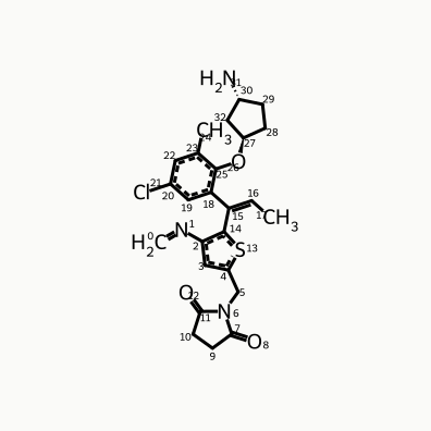 C=Nc1cc(CN2C(=O)CCC2=O)sc1/C(=C\C)c1cc(Cl)cc(C)c1O[C@@H]1CC[C@@H](N)C1